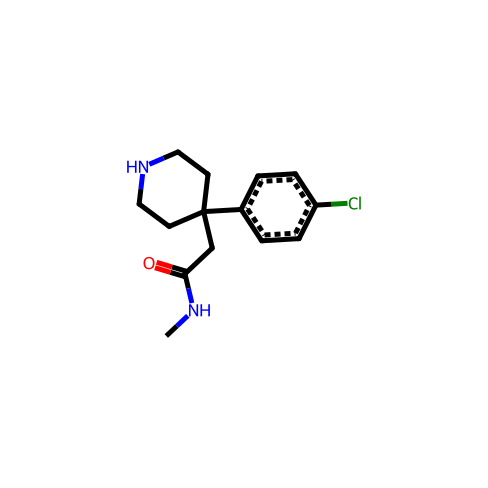 CNC(=O)CC1(c2ccc(Cl)cc2)CCNCC1